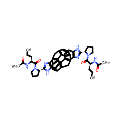 COC(=O)N[C@@H](CCC#N)C(=O)N1CCC[C@H]1c1nc2cc(-c3cc4ccc3CCc3ccc(c(-c5ccc6[nH]c([C@@H]7CCCN7C(=O)[C@H](CCC#N)NC(=O)OC)nc6c5)c3)CC4)ccc2[nH]1